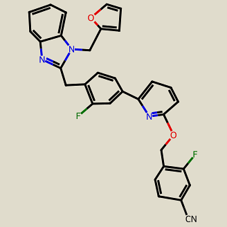 N#Cc1ccc(COc2cccc(-c3ccc(Cc4nc5ccccc5n4Cc4ccco4)c(F)c3)n2)c(F)c1